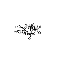 N.N.O=P(O)(O)OP(=O)(O)O.O=S(=O)(O)S